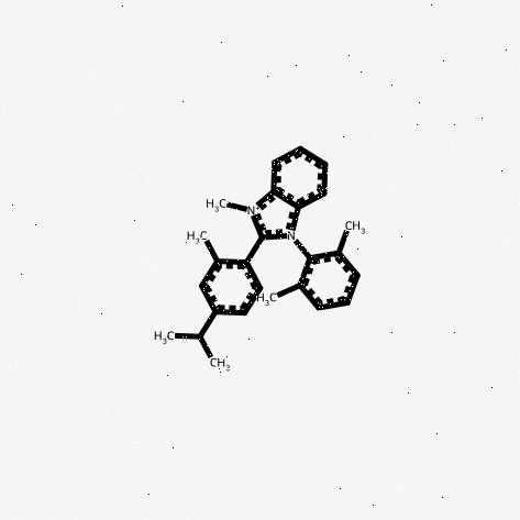 Cc1cc(C(C)C)ccc1-c1n(-c2c(C)cccc2C)c2ccccc2[n+]1C